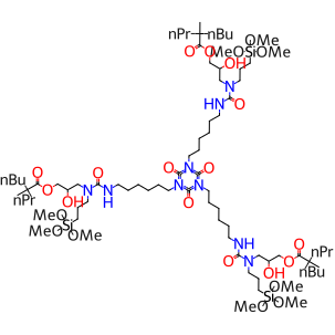 CCCCC(C)(CCC)C(=O)OCC(O)CN(CCC[Si](OC)(OC)OC)C(=O)NCCCCCCn1c(=O)n(CCCCCCNC(=O)N(CCC[Si](OC)(OC)OC)CC(O)COC(=O)C(C)(CCC)CCCC)c(=O)n(CCCCCCNC(=O)N(CCC[Si](OC)(OC)OC)CC(O)COC(=O)C(C)(CCC)CCCC)c1=O